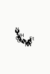 CCc1cc2c(N3CCN(C(=O)CC(=O)NCc4ccncc4)CC3)ncnc2s1